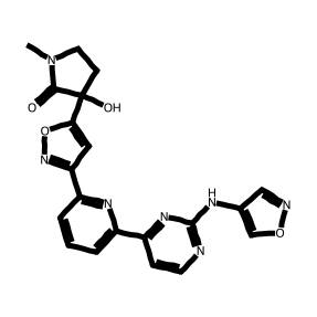 CN1CCC(O)(c2cc(-c3cccc(-c4ccnc(Nc5cnoc5)n4)n3)no2)C1=O